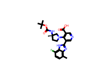 Cc1ccc(F)c2[nH]c(-c3cncc(C(=O)O)c3N3CC[C@](C)(NC(=O)OC(C)(C)C)C3)nc12